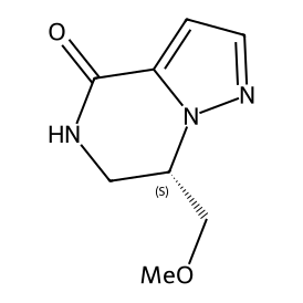 COC[C@@H]1CNC(=O)c2ccnn21